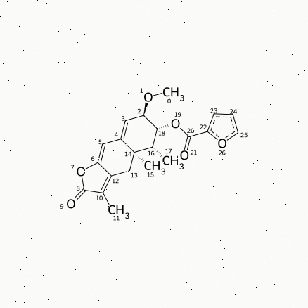 CO[C@@H]1C=C2C=C3OC(=O)C(C)=C3C[C@]2(C)[C@@H](C)[C@H]1OC(=O)c1ccco1